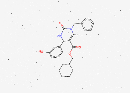 CC1=C(C(=O)OCC2CCCCC2)C(c2cccc(O)c2)NC(=O)N1Cc1ccccc1